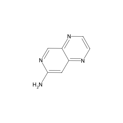 Nc1cc2nccnc2cn1